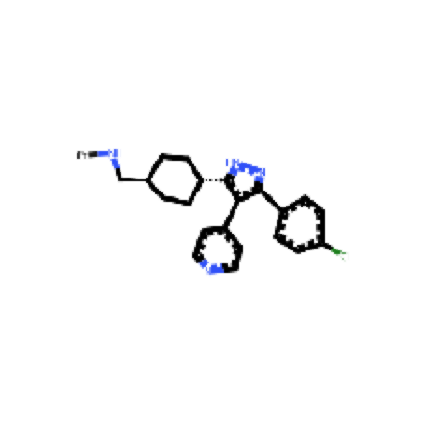 CC(C)NC[C@H]1CC[C@H](c2[nH]nc(-c3ccc(Cl)cc3)c2-c2ccncc2)CC1